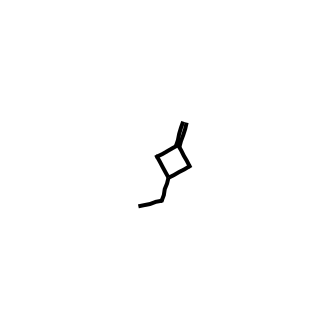 C=C1CC(CC)C1